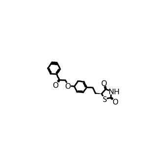 O=C1NC(=O)[C@H](CCC2=CCC(OCC(=O)c3cc#ccc3)C=C2)S1